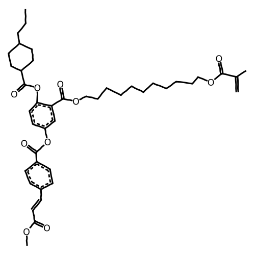 C=C(C)C(=O)OCCCCCCCCCCCOC(=O)c1cc(OC(=O)c2ccc(C=CC(=O)OC)cc2)ccc1OC(=O)C1CCC(CCC)CC1